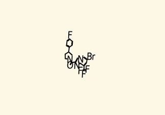 O=C(c1cn2cc(Br)cc(C(F)(F)F)c2n1)N1CCC(c2ccc(F)cc2)C1